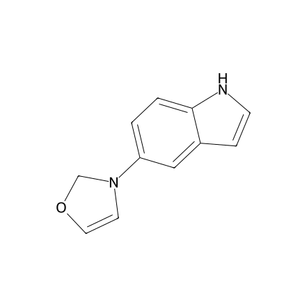 C1=CN(c2ccc3[nH]ccc3c2)CO1